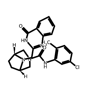 Cc1ccc(Cl)cc1NC(=O)N1C[C@H]2CC[C@@H](C1)N2Cc1nc2ccccc2c(=O)[nH]1